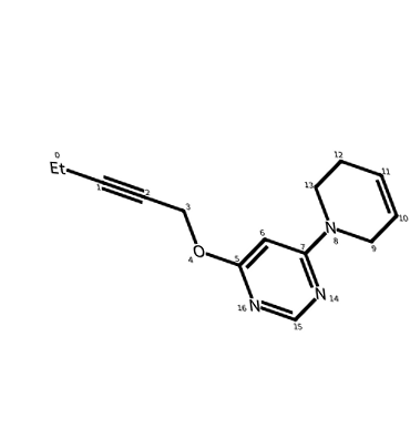 CCC#CCOc1cc(N2CC=CCC2)ncn1